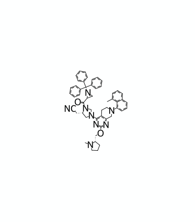 Cc1cccc2cccc(N3CCc4c(nc(OC[C@@H]5CCCN5C)nc4N4C[C@H](CC#N)N(C(=O)C5C[N@@]5C(c5ccccc5)(c5ccccc5)c5ccccc5)C4)C3)c12